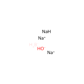 [BH4-].[Na+].[Na+].[NaH].[OH-]